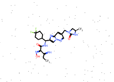 N=C(CC(F)(F)F)/C(=N\O)C(=O)N[C@H](c1cn2ncc(CN3C[C@@H](C(F)(F)F)NC3=O)cc2n1)C1CCC(F)(F)CC1